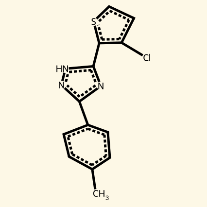 Cc1ccc(-c2n[nH]c(-c3sccc3Cl)n2)cc1